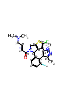 CCn1cc(-c2c(F)cccc2C2c3c(sc(Cl)c3C)CN2C(=O)/C=C/CN(C)C)c(C(F)(F)F)n1